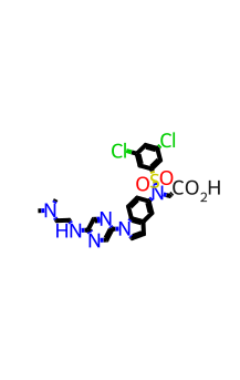 CN(C)CCNc1cnc(-n2ccc3cc(N(CC(=O)O)S(=O)(=O)c4cc(Cl)cc(Cl)c4)ccc32)cn1